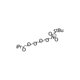 CC(C)C(=O)CCOCCOCCOCCOCCN1C(=O)CC(SC(C)(C)C)C1=O